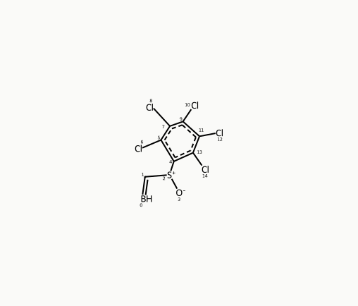 B=C[S+]([O-])c1c(Cl)c(Cl)c(Cl)c(Cl)c1Cl